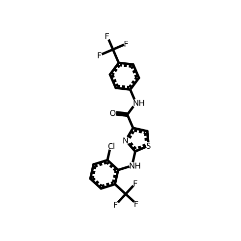 O=C(Nc1ccc(C(F)(F)F)cc1)c1csc(Nc2c(Cl)cccc2C(F)(F)F)n1